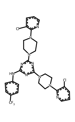 FC(F)(F)c1ccc(Nc2nc(N3CCN(c4ncccc4Cl)CC3)nc(N3CCN(c4ncccc4Cl)CC3)n2)cc1